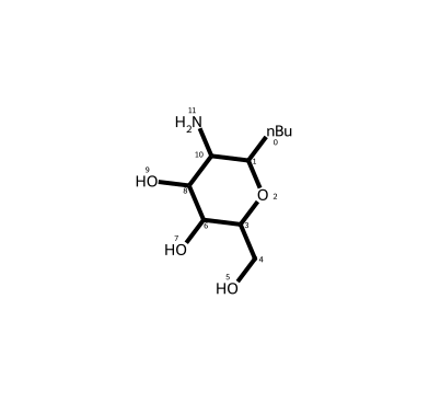 CCCCC1OC(CO)C(O)C(O)C1N